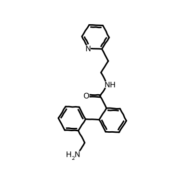 NCc1ccccc1-c1ccccc1C(=O)NCCc1ccccn1